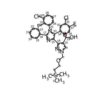 C[Si](C)(C)CCOCn1cc(C(=O)O)c(-c2nc(-c3ccccc3)n(-c3cccc(Cl)c3F)c2-c2ccc(F)c(Cl)c2)n1